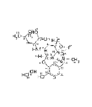 CO[C@@]12CC[C@@H](N[C@@H](CC(C)C)C(=O)O)[C@@H]3Oc4c(O)ccc5c4[C@@]31CCN(C)[C@@H]2C5.Cl.Cl